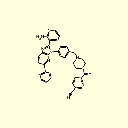 N#Cc1ccc(C(=O)N2CCN(Cc3ccc(-n4c(-c5cccnc5N)nc5ccc(-c6ccccc6)nc54)cc3)CC2)nc1